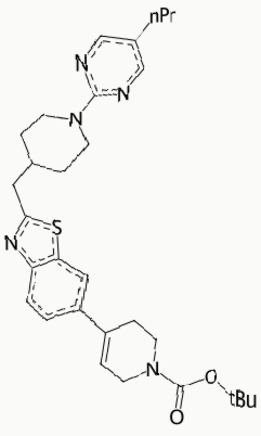 CCCc1cnc(N2CCC(Cc3nc4ccc(C5=CCN(C(=O)OC(C)(C)C)CC5)cc4s3)CC2)nc1